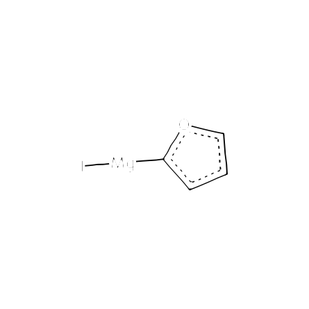 [I][Mg][c]1ccco1